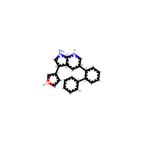 c1ccc(-c2ccccc2-c2cnc3[nH]cc(-c4ccoc4)c3c2)cc1